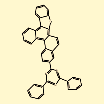 c1ccc(-c2nc(-c3ccccc3)nc(-c3ccc4c(ccc5c6oc7ccccc7c6c6ccccc6c45)c3)n2)cc1